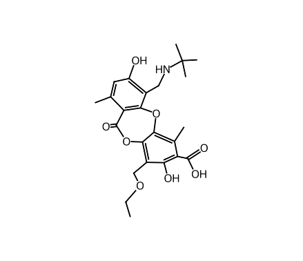 CCOCc1c(O)c(C(=O)O)c(C)c2c1OC(=O)c1c(C)cc(O)c(CNC(C)(C)C)c1O2